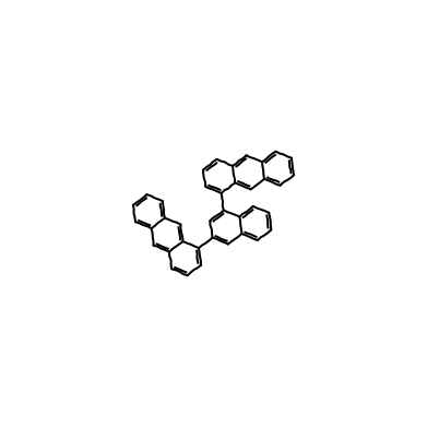 c1ccc2cc3c(-c4cc(-c5cccc6cc7ccccc7cc56)c5ccccc5c4)cccc3cc2c1